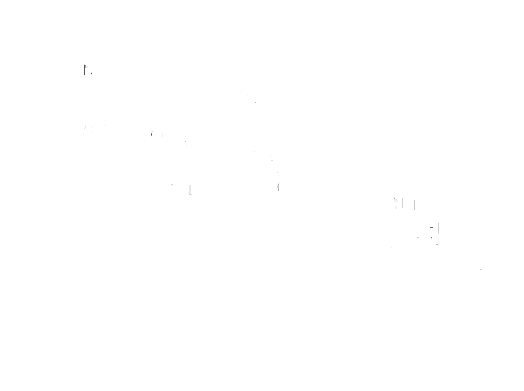 [C-]#[N+]c1cc2c(Oc3ccc(NC(=O)Nc4ccc(F)cc4)c(F)c3)ccnc2cc1OCC(O)CN1CCCC1